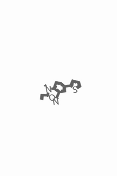 C=CC(=O)N(C)c1ccc(-c2cccs2)cc1C#N